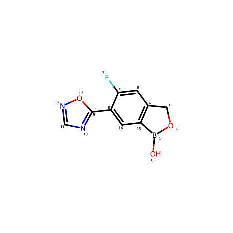 OB1OCc2cc(F)c(-c3ncno3)cc21